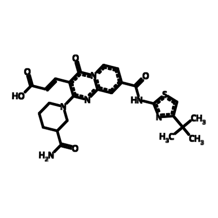 CC(C)(C)c1csc(NC(=O)c2ccn3c(=O)c(/C=C/C(=O)O)c(N4CCCC(C(N)=O)C4)nc3c2)n1